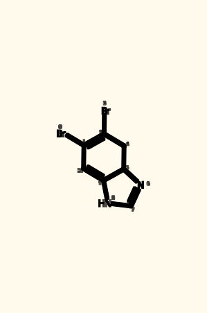 BrC1=C(Br)CC2N=CNC2=C1